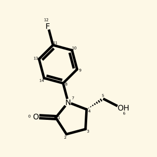 O=C1CC[C@@H](CO)N1c1ccc(F)cc1